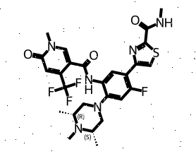 CNC(=O)c1nc(-c2cc(NC(=O)c3cn(C)c(=O)cc3C(F)(F)F)c(N3C[C@@H](C)N(C)[C@@H](C)C3)cc2F)cs1